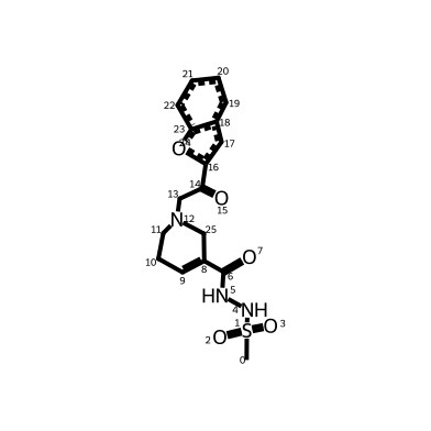 CS(=O)(=O)NNC(=O)C1=CCCN(CC(=O)c2cc3ccccc3o2)C1